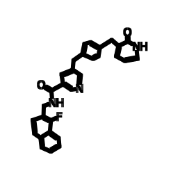 O=C(NCc1ccc2ccccc2c1F)c1cncc(Cc2ccc(Cc3ccc[nH]c3=O)cc2)c1